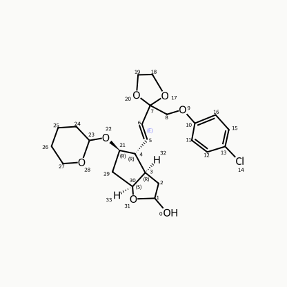 OC1C[C@@H]2[C@@H](/C=C/C3(COc4ccc(Cl)cc4)OCCO3)[C@H](OC3CCCCO3)C[C@@H]2O1